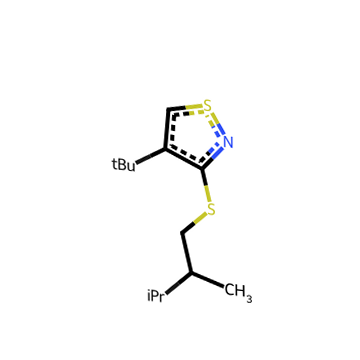 CC(C)C(C)CSc1nscc1C(C)(C)C